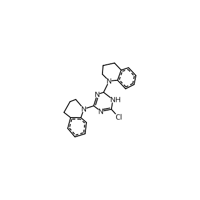 ClC1=NC(N2CCCc3ccccc32)=NC(N2CCCc3ccccc32)N1